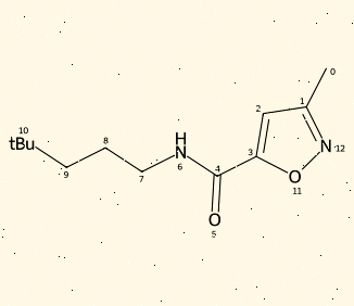 Cc1cc(C(=O)NCCCC(C)(C)C)on1